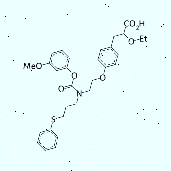 CCOC(Cc1ccc(OCCN(CCCSc2ccccc2)C(=O)Oc2cccc(OC)c2)cc1)C(=O)O